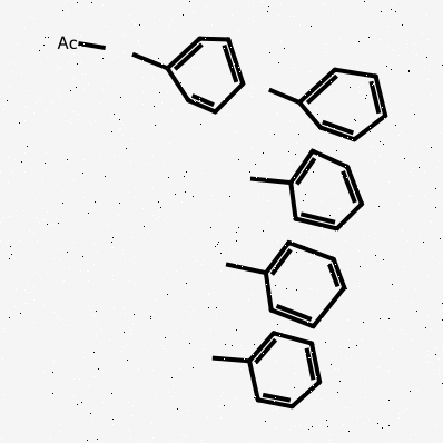 CC(C)=O.Cc1ccccc1.Cc1ccccc1.Cc1ccccc1.Cc1ccccc1.Cc1ccccc1